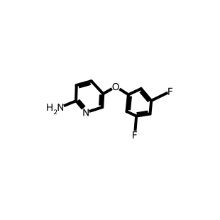 Nc1ccc(Oc2cc(F)cc(F)c2)cn1